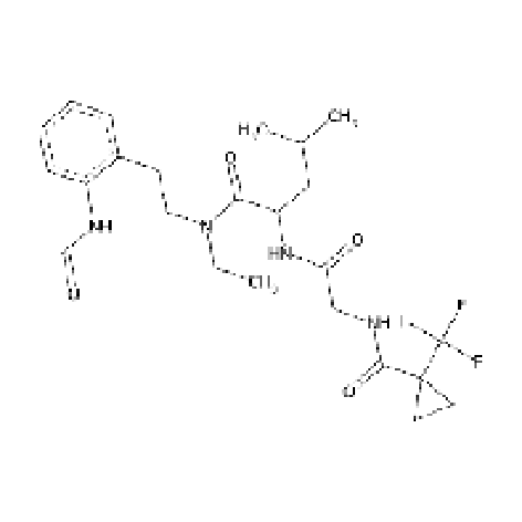 CCN(CCc1ccccc1NC=O)C(=O)C(CC(C)C)NC(=O)CNC(=O)C1(C(F)(F)F)CC1